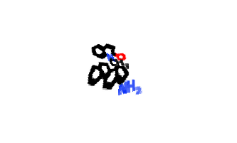 Cn1c(=O)ccc2ccccc21.Nc1cccc2c3c(ccc12)C1=C(CCC=C1)CC3